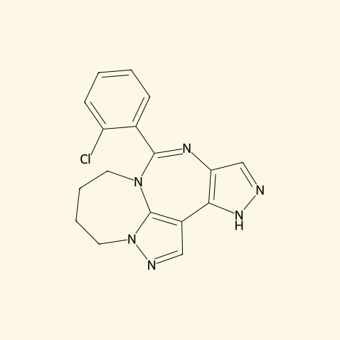 Clc1ccccc1C1=Nc2cn[nH]c2-c2cnn3c2N1CCCC3